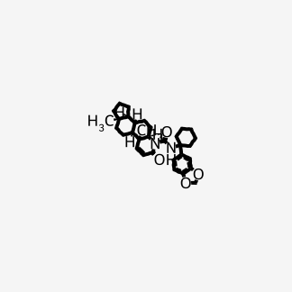 C[C@@]12CCC[C@H]1[C@@H]1CC[C@H]3N(C(=O)NC4(c5ccc6c(c5)OCO6)CCCCC4)C(=O)C=C[C@]3(C)[C@H]1CC2